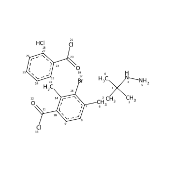 CC(C)(C)NN.Cc1ccc(C(=O)Cl)c(C)c1Br.Cl.O=C(Cl)c1ccccc1